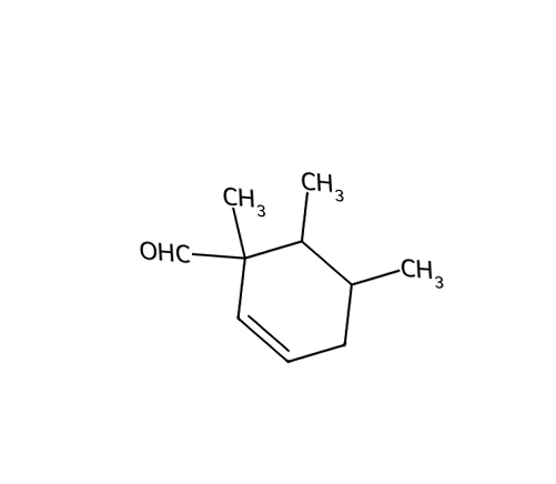 CC1CC=CC(C)(C=O)C1C